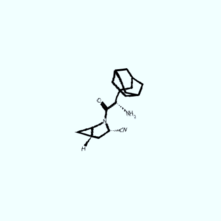 N#C[C@@H]1C[C@@H]2CC2N1C(=O)[C@@H](N)C12CC3CC(CC(C3)C1)C2